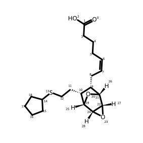 O=C(O)CCC/C=C\C[C@H]1[C@@H](CCSC2CCCC2)[C@@H]2O[C@H]1[C@@H]1O[C@@H]12